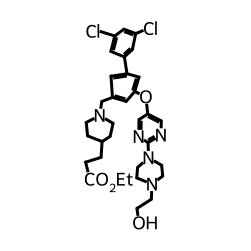 CCOC(=O)CCC1CCN(Cc2cc(Oc3cnc(N4CCN(CCO)CC4)nc3)cc(-c3cc(Cl)cc(Cl)c3)c2)CC1